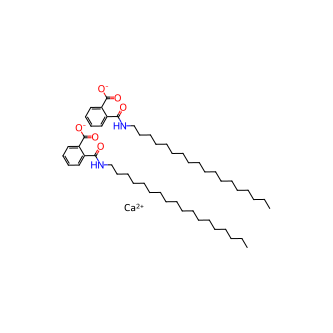 CCCCCCCCCCCCCCCCCCNC(=O)c1ccccc1C(=O)[O-].CCCCCCCCCCCCCCCCCCNC(=O)c1ccccc1C(=O)[O-].[Ca+2]